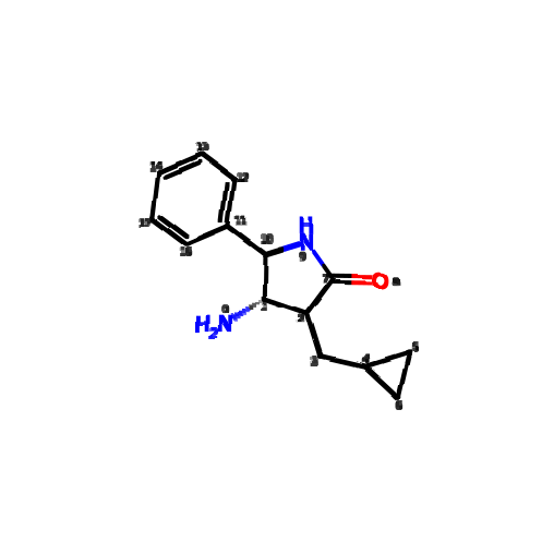 N[C@H]1C(CC2CC2)C(=O)NC1c1ccccc1